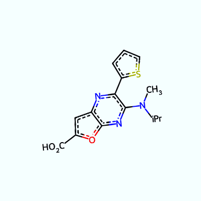 CC(C)N(C)c1nc2oc(C(=O)O)cc2nc1-c1cccs1